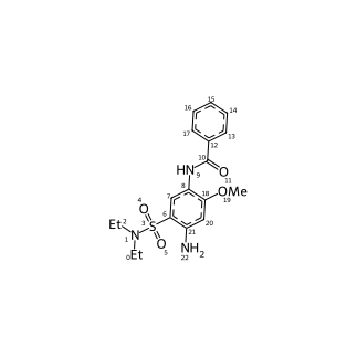 CCN(CC)S(=O)(=O)c1cc(NC(=O)c2ccccc2)c(OC)cc1N